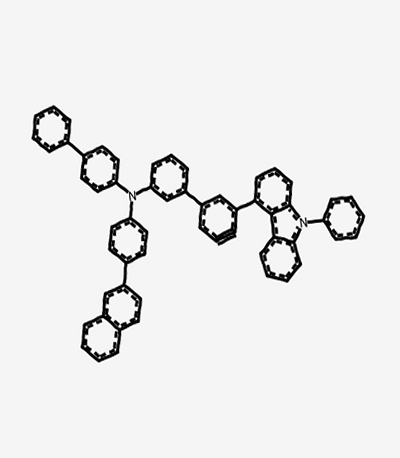 c1cc(-c2cccc(N(c3ccc(-c4ccccc4)cc3)c3ccc(-c4ccc5ccccc5c4)cc3)c2)cc(-c2cccc3c2c2ccccc2n3-c2ccccc2)c#1